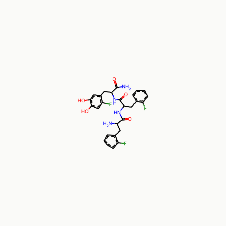 NC(=O)C(Cc1cc(O)c(O)cc1F)NC(=O)C(Cc1ccccc1F)NC(=O)C(N)Cc1ccccc1F